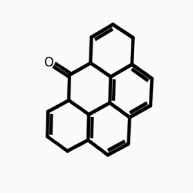 O=C1C2C=CCc3ccc4ccc5c(c4c32)C1C=CC5